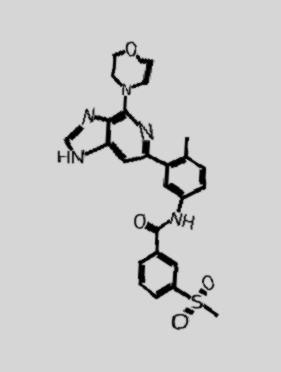 Cc1ccc(NC(=O)c2cccc(S(C)(=O)=O)c2)cc1-c1cc2[nH]cnc2c(N2CCOCC2)n1